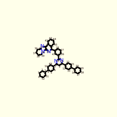 c1ccc(-c2ccc(-c3cc(-c4ccc(-c5ccccc5)cc4)nc(-c4cccc(-c5nc6c(nc7ccccn76)c6ccccc56)c4)n3)cc2)cc1